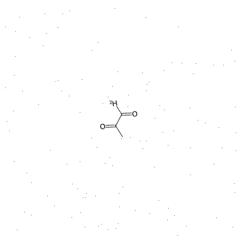 [2H]C(=O)C(C)=O